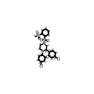 CS(=O)(=O)c1ccccc1S(=O)(=O)N1CCN(c2ccc(Cl)cc2Cl)C(c2ccc(Cl)cc2)C1